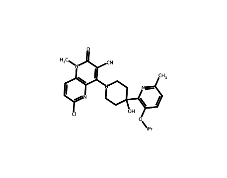 Cc1ccc(OC(C)C)c(C2(O)CCN(c3c(C#N)c(=O)n(C)c4ccc(Cl)nc34)CC2)n1